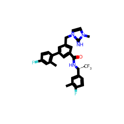 Cc1cc([C@H](NC(=O)c2cc(Cn3ccn(C)c3=N)cc(-c3ccc(F)cc3C)c2)C(F)(F)F)ccc1F